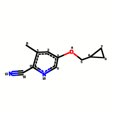 Cc1cc(OCC2CC2)cnc1C#N